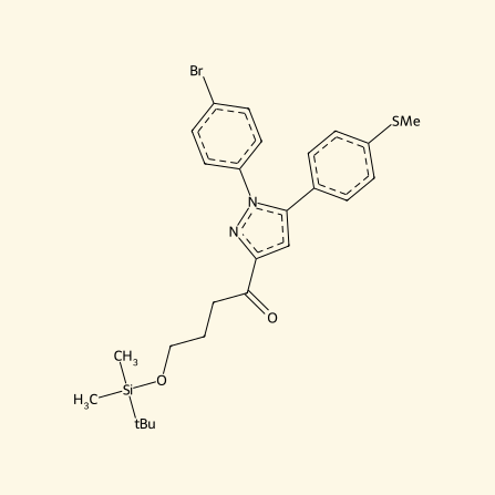 CSc1ccc(-c2cc(C(=O)CCCO[Si](C)(C)C(C)(C)C)nn2-c2ccc(Br)cc2)cc1